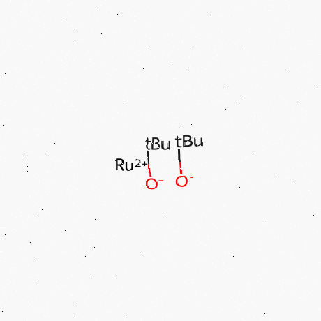 CC(C)(C)[O-].CC(C)(C)[O-].[Ru+2]